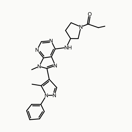 CCC(=O)N1CCC(Nc2ncnc3c2nc(-c2cnn(-c4ccccc4)c2C)n3C)C1